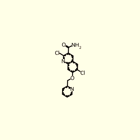 NC(=O)c1cc2cc(Cl)c(OCc3ccccn3)cc2nc1Cl